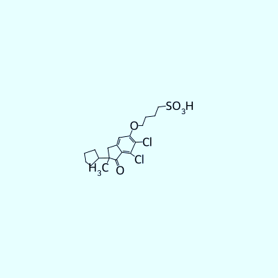 CC1(C2CCCC2)Cc2cc(OCCCCS(=O)(=O)O)c(Cl)c(Cl)c2C1=O